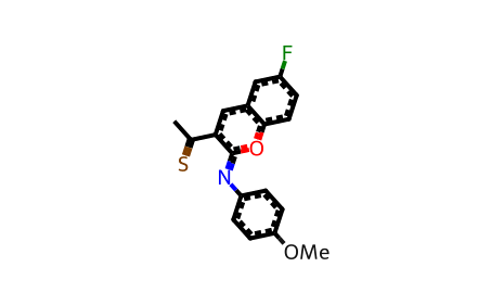 COc1ccc(/N=c2\oc3ccc(F)cc3cc2C(C)=S)cc1